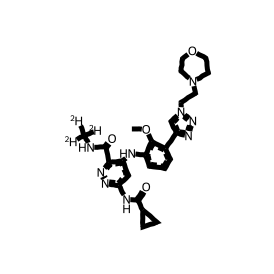 [2H]C([2H])([2H])NC(=O)c1nnc(NC(=O)C2CC2)cc1Nc1cccc(-c2cn(CCN3CCOCC3)nn2)c1OC